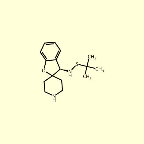 CC(C)(C)SN[C@@H]1c2ccccc2OC12CCNCC2